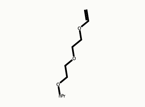 C=COCCOCCOC[CH]C